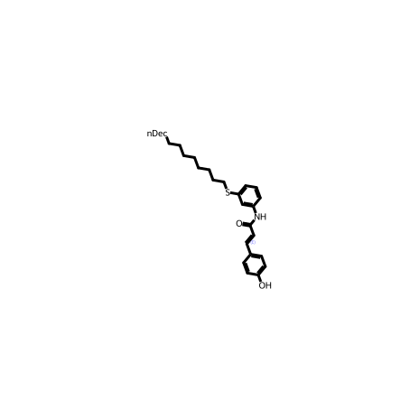 CCCCCCCCCCCCCCCCCCSc1cccc(NC(=O)/C=C/c2ccc(O)cc2)c1